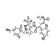 Cc1c(NC(=O)c2cc(C(N)=O)nc3ccc(Br)cc23)c(C(F)(F)F)nn1Cc1c(F)cc(C#N)cc1F